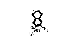 Cc1cc2ccncc2cc1S(C)(=O)=O